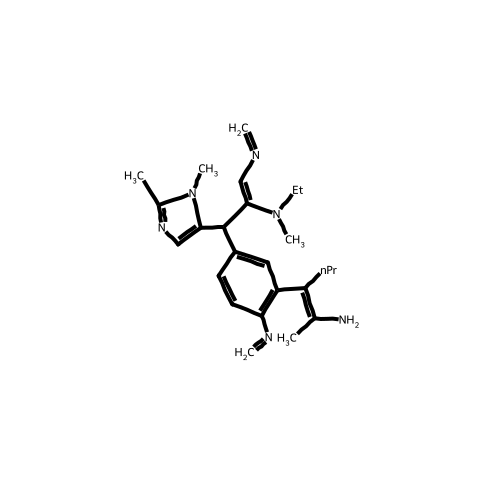 C=N/C=C(/C(c1ccc(N=C)c(/C(CCC)=C(\C)N)c1)c1cnc(C)n1C)N(C)CC